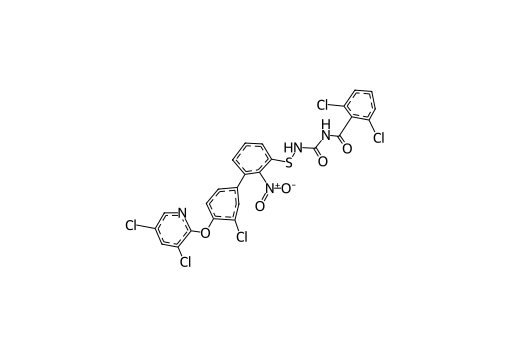 O=C(NSc1cccc(-c2ccc(Oc3ncc(Cl)cc3Cl)c(Cl)c2)c1[N+](=O)[O-])NC(=O)c1c(Cl)cccc1Cl